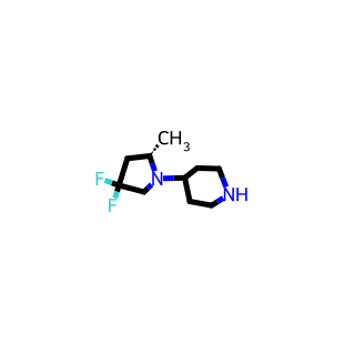 C[C@H]1CC(F)(F)CN1C1CCNCC1